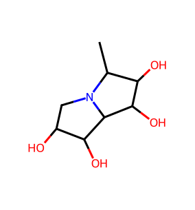 CC1C(O)C(O)C2C(O)C(O)CN12